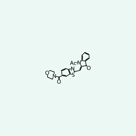 CC(=O)N1/C(=C\c2nc3ccc(C(=O)N4CCOCC4)cc3s2)C(=O)c2ccccc21